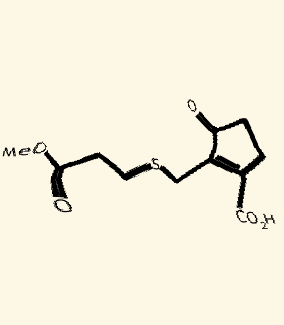 COC(=O)CCSCC1=C(C(=O)O)CCC1=O